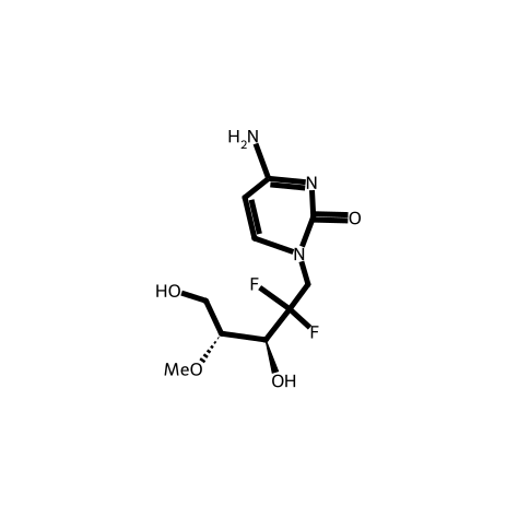 CO[C@H](CO)[C@H](O)C(F)(F)Cn1ccc(N)nc1=O